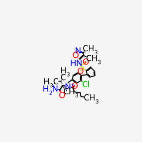 CCCCC(=O)[N+](C)(Cc1ccc(-c2ccccc2S(=O)(=O)Nc2onc(C)c2C)c(Cl)c1)[C@H](C(N)=O)C(C)C